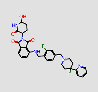 O=C1NC(O)CCC1N1C(=O)c2cccc(NCc3ccc(CN4CCC(F)(c5ccccn5)CC4)cc3F)c2C1=O